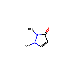 CC(=O)n1ccc(=O)n1C(C)(C)C